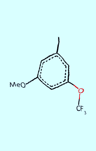 COc1cc(C)cc(OC(F)(F)F)c1